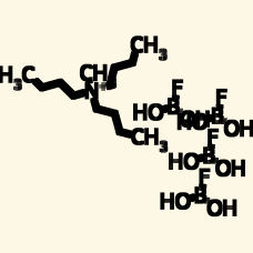 CCCC[N+](C)(CCCC)CCCC.OB(O)F.OB(O)F.OB(O)F.OB(O)F